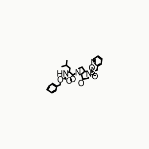 CC(C)CC(NC(=O)OCc1ccccc1)C(=O)N1CCC2C1C(=O)CN2S(=O)(=O)Cc1ccccn1